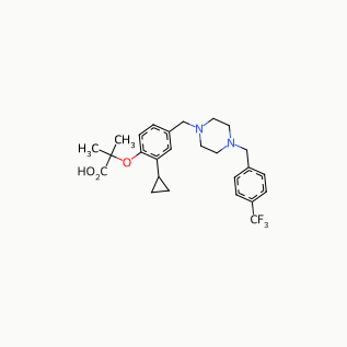 CC(C)(Oc1ccc(CN2CCN(Cc3ccc(C(F)(F)F)cc3)CC2)cc1C1CC1)C(=O)O